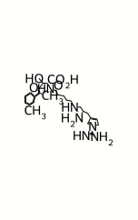 Cc1ccc2oc(C(O)C(NC(=O)CCCCNCC(N)CC3=CCN(C(=N)N)C3)C(=O)O)c(C)c2c1